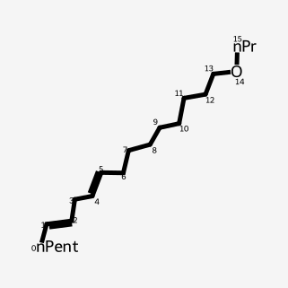 CCCCCC=CCC=CCCCCCCCCOCCC